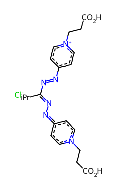 CC(C)C(N=Nc1cc[n+](CCC(=O)O)cc1)=NN=c1ccn(CCC(=O)O)cc1.[Cl-]